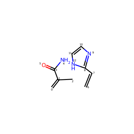 C=C(C)C(N)=O.C=Cc1ncc[nH]1